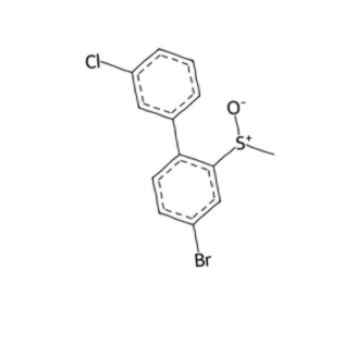 C[S+]([O-])c1cc(Br)ccc1-c1cccc(Cl)c1